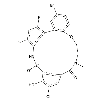 CN1CCOc2ccc(Br)cc2-c2cc(c(F)cc2F)N[S+]([O-])c2cc(cc(Cl)c2O)C1=O